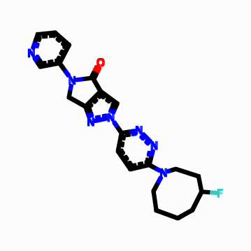 O=C1c2cn(-c3ccc(N4CCCCC(F)CC4)nn3)nc2CN1c1cccnc1